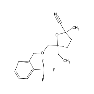 CCC1(COCc2ccccc2C(F)(F)F)CCC(C)(C#N)O1